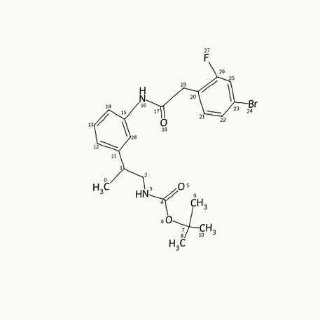 CC(CNC(=O)OC(C)(C)C)c1cccc(NC(=O)Cc2ccc(Br)cc2F)c1